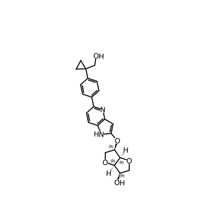 OCC1(c2ccc(-c3ccc4[nH]c(O[C@@H]5CO[C@H]6[C@@H]5OC[C@H]6O)cc4n3)cc2)CC1